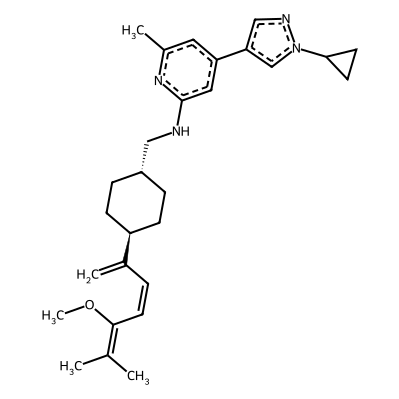 C=C(/C=C\C(OC)=C(C)C)[C@H]1CC[C@H](CNc2cc(-c3cnn(C4CC4)c3)cc(C)n2)CC1